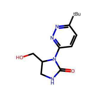 CC(C)(C)c1ccc(N2C(=O)NCC2CO)nn1